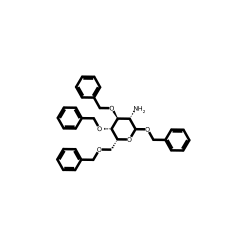 N[C@@H]1C(OCc2ccccc2)O[C@H](COCc2ccccc2)[C@H](OCc2ccccc2)[C@H]1OCc1ccccc1